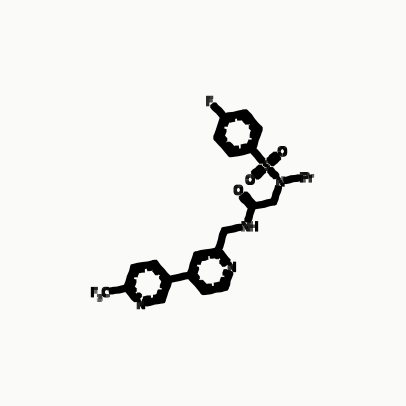 CC(C)N(CC(=O)NCc1cc(-c2ccc(C(F)(F)F)nc2)ccn1)S(=O)(=O)c1ccc(F)cc1